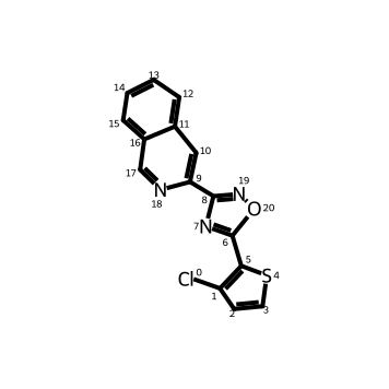 Clc1ccsc1-c1nc(-c2cc3ccccc3cn2)no1